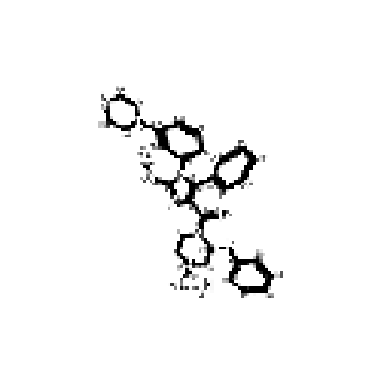 CCOc1nc(C(=O)N2CCN(C(=O)O)C[C@H]2Cc2ccccc2)c(-c2ccccc2)n1-c1cccc(N2CCOCC2)c1